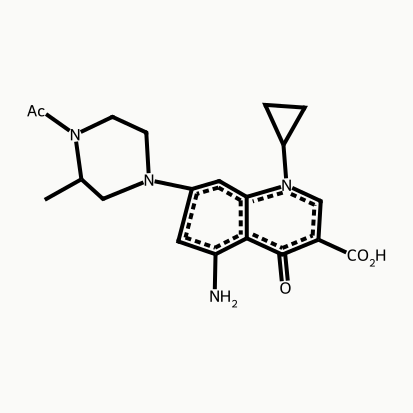 CC(=O)N1CCN(c2cc(N)c3c(=O)c(C(=O)O)cn(C4CC4)c3c2)CC1C